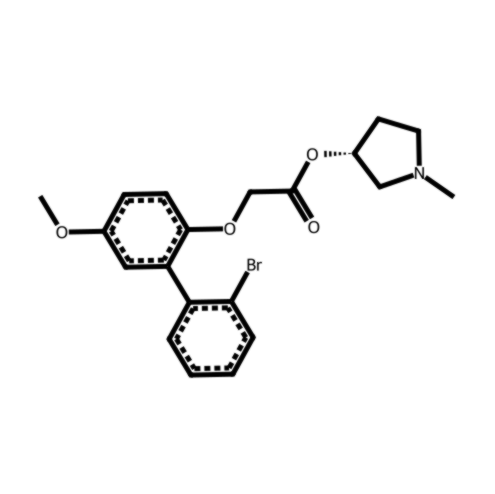 COc1ccc(OCC(=O)O[C@@H]2CCN(C)C2)c(-c2ccccc2Br)c1